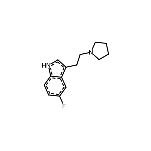 Fc1ccc2[nH]cc(CCN3CCCC3)c2c1